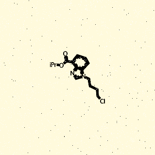 CC(C)OC(=O)c1cccc2c1ncn2CCCCCl